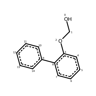 OCOc1ccccc1-c1cc[c]cc1